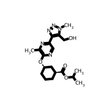 Cc1nc(-c2nnn(C)c2CO)cnc1O[C@H]1CCC[C@H](C(=O)OC(C)C)C1